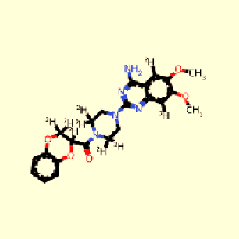 [2H]c1c(OC)c(OC)c([2H])c2c(N)nc(N3CC([2H])([2H])N(C(=O)C4([2H])Oc5ccccc5OC4([2H])[2H])C([2H])([2H])C3)nc12